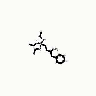 CCO[Si](CCC(N)Cc1ccccc1)(OCC)OCC